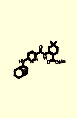 COC(=O)C1=C(NC(=O)c2ccc(NC3=C4CCCC(=CC3)N4)nn2)CC(C)(C)CC1